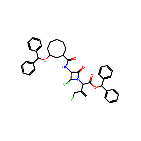 C=C(CCl)C(C(=O)OC(c1ccccc1)c1ccccc1)N1C(=O)C(NC(=O)C2CCCCCC(OC(c3ccccc3)c3ccccc3)C2)C1Cl